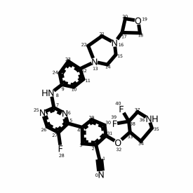 N#Cc1cc(-c2nc(Nc3ccc(N4CCN(C5COC5)CC4)cc3)ncc2F)ccc1OC1CCNCC1(F)F